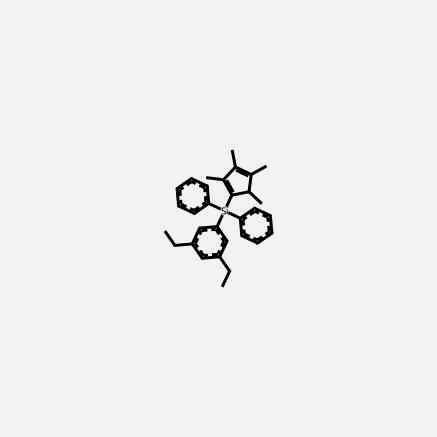 CCc1cc(CC)cc([Si](C2=C(C)C(C)=C(C)C2C)(c2ccccc2)c2ccccc2)c1